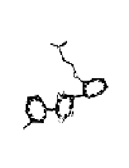 Cc1cccc(-c2nc(-c3ccccc3OCCN(C)C)no2)c1